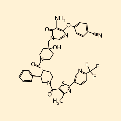 Cc1nc(-c2ccc(C(F)(F)F)nc2)sc1C(=O)N1CC[C@@H](C(=O)N2CCC(O)(Cn3cnc(Oc4ccc(C#N)cc4)c(N)c3=O)CC2)[C@H](c2ccccc2)C1